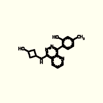 Cc1ccc(-c2nnc(NC3CC(O)C3)c3cccnc23)c(O)c1